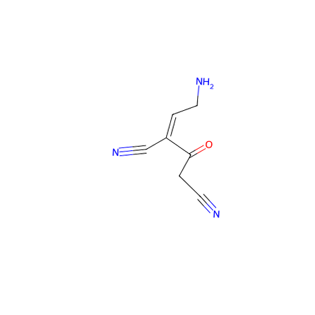 N#CCC(=O)/C(C#N)=C\CN